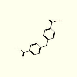 O=C(O)c1ccc(Cc2ccc(C(=O)O)cc2)cc1